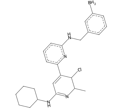 Bc1cccc(CNc2cccc(C3=CC(NC4CCCCC4)=NC(C)C3Cl)n2)c1